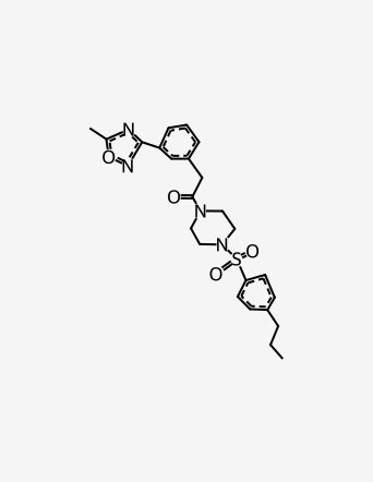 CCCc1ccc(S(=O)(=O)N2CCN(C(=O)Cc3cccc(-c4noc(C)n4)c3)CC2)cc1